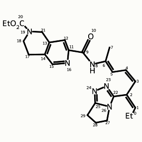 CC/C=C(/C=C\C=C(/C)NC(=O)c1cc2c(cn1)CCN(C(=O)OCC)C2)c1nnc2n1CCC2